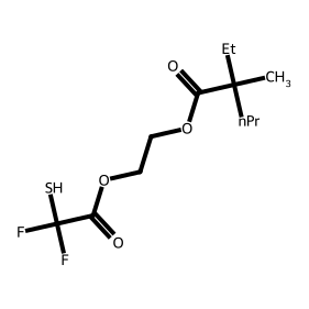 CCCC(C)(CC)C(=O)OCCOC(=O)C(F)(F)S